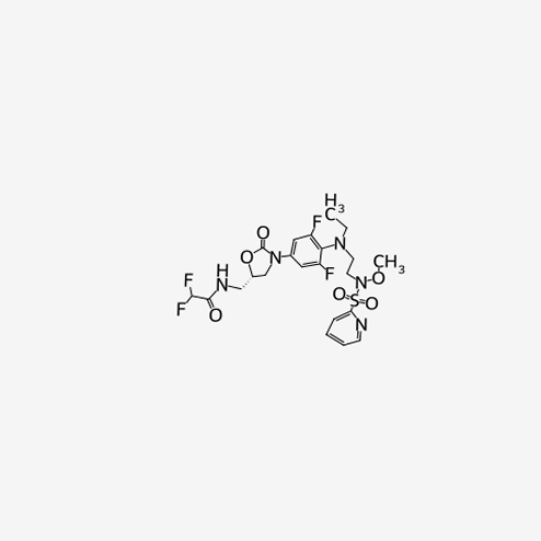 CCN(CCN(OC)S(=O)(=O)c1ccccn1)c1c(F)cc(N2C[C@H](CNC(=O)C(F)F)OC2=O)cc1F